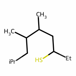 CCC(S)CC(C)C(C)CC(C)C